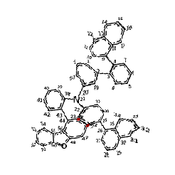 c1cc(-c2ccccc2-c2cccc3ccccc23)cc(N(c2ccc(-c3cccc4ccccc34)cc2)c2ccccc2-c2cccc3oc4ccccc4c23)c1